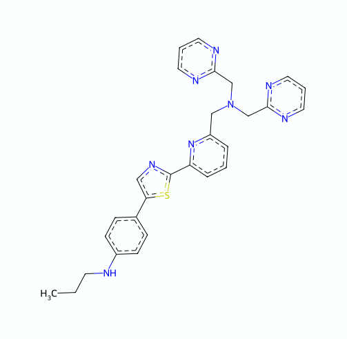 CCCNc1ccc(-c2cnc(-c3cccc(CN(Cc4ncccn4)Cc4ncccn4)n3)s2)cc1